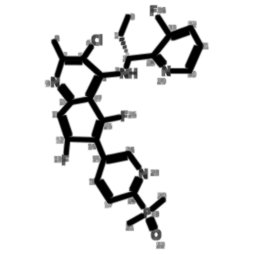 CC[C@@H](Nc1c(Cl)c(C)nc2cc(F)c(-c3ccc(P(C)(C)=O)nc3)c(F)c12)c1ncccc1F